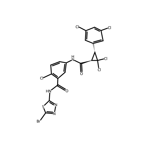 O=C(Nc1nnc(Br)s1)c1cc(NC(=O)[C@H]2[C@H](c3cc(Cl)cc(Cl)c3)C2(Cl)Cl)ccc1Cl